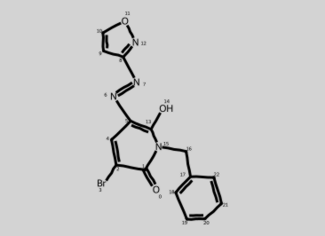 O=c1c(Br)cc(N=Nc2ccon2)c(O)n1Cc1ccccc1